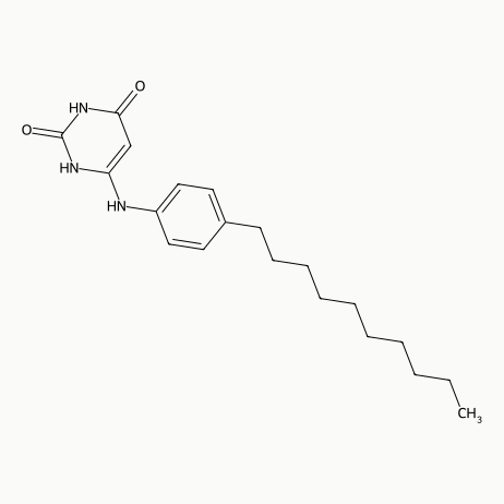 CCCCCCCCCCc1ccc(Nc2cc(=O)[nH]c(=O)[nH]2)cc1